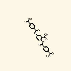 O=C(O)c1ccc(C(=O)Oc2ccc(OC(=O)c3ccc(C(=O)O)cc3)c(C(=O)O)c2)cc1